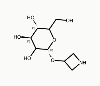 OCC1O[C@H](OC2CNC2)C(O)[C@@H](O)[C@@H]1O